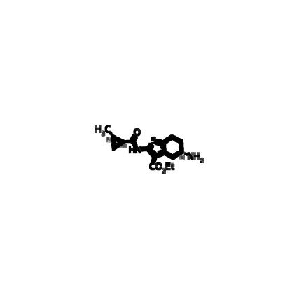 CCOC(=O)c1c(NC(=O)[C@H]2C[C@@H]2C)sc2c1C[C@@H](N)CC2